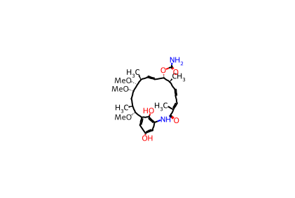 CO[C@H]1[C@@H](OC)C[C@H](C)[C@@H](OC)c2cc(O)cc(c2O)NC(=O)/C(C)=C/C=C\[C@H](C)[C@@H](OC(N)=O)/C=C/[C@@H]1C